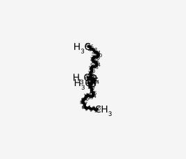 CCCCC/C=C\C/C=C\C/C=C\C/C=C\CCCC(C)OP(=O)(F)OC(C)CCC/C=C\C/C=C\C/C=C\C/C=C\CCCCC